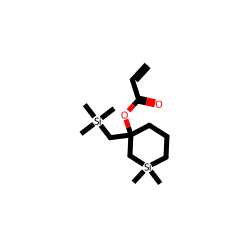 C=CC(=O)OC1(C[Si](C)(C)C)CCC[Si](C)(C)C1